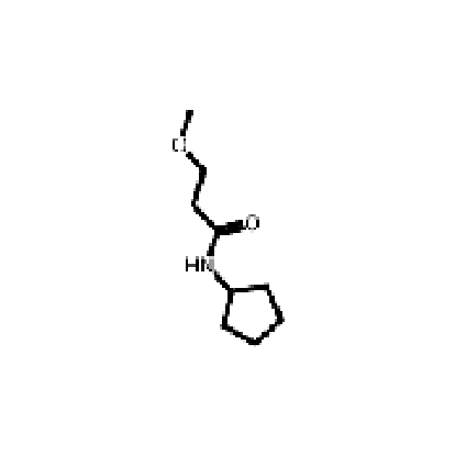 COCCC(=O)NC1CCCC1